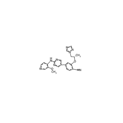 COc1cnccc1Nc1ncc(-c2ccc(C#N)c(O[C@@H](C)Cn3cncn3)c2)cn1